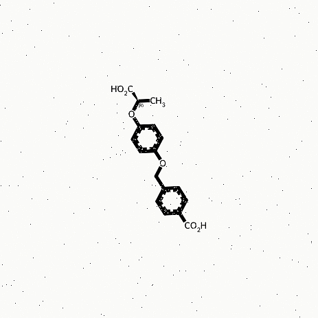 C[C@@H](Oc1ccc(OCc2ccc(C(=O)O)cc2)cc1)C(=O)O